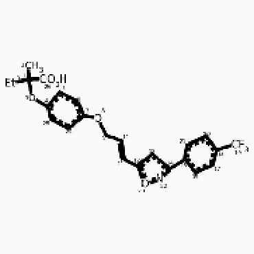 CCC(C)(Oc1ccc(OC/C=C/c2cc(-c3ccc(C(F)(F)F)cc3)no2)cc1)C(=O)O